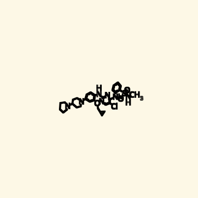 CNS(=O)(=O)c1ccccc1Nc1nc(Nc2ccc(N3CCC(N4CCCCC4)CC3)cc2OCC2CC2)ncc1Cl